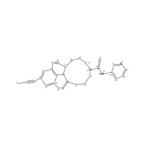 CC#Cc1cc(C)c(C2C(=O)CCCN(C(=O)Nc3cccnc3)CCCC2O)c(C)c1